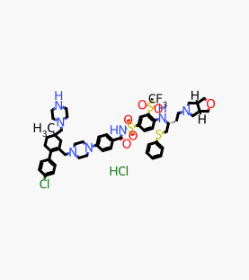 C[C@@]1(CN2CCNCC2)CCC(c2ccc(Cl)cc2)=C(CN2CCN(c3ccc(C(=O)NS(=O)(=O)c4ccc(N[C@H](CCN5C[C@H]6COC[C@H]6C5)CSc5ccccc5)c(S(=O)(=O)C(F)(F)F)c4)cc3)CC2)C1.Cl